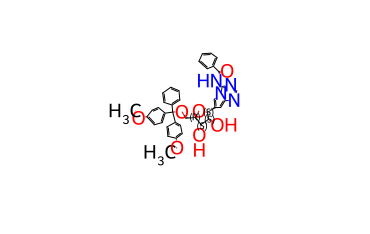 COc1ccc(C(OC[C@H]2O[C@@H](c3cc4ncnc(NC(=O)c5ccccc5)n4c3)[C@@H](O)[C@@H]2O)(c2ccccc2)c2ccc(OC)cc2)cc1